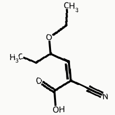 CCOC(C=C(C#N)C(=O)O)CC